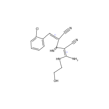 N#C/C(=C/c1ccccc1Cl)C(=N)/C(C#N)=C(/N)NCCO